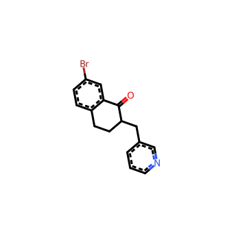 O=C1c2cc(Br)ccc2CCC1Cc1cccnc1